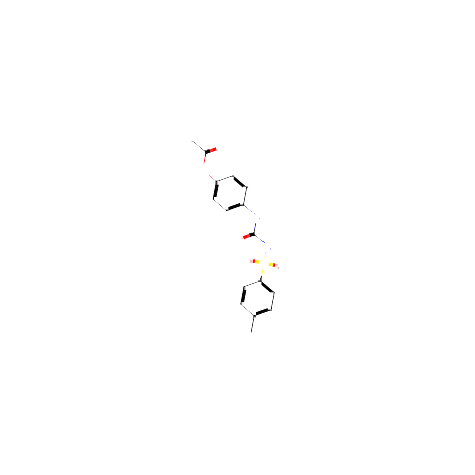 CC(=O)Oc1ccc(NC(=O)NS(=O)(=O)c2ccc(C)cc2)cc1